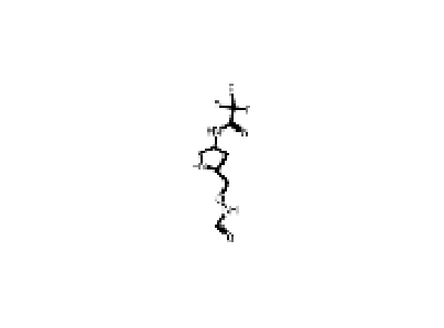 O=CNOCC1CC(NC(=O)C(F)(F)F)CN1